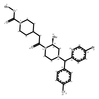 CC(C)(C)OC(=O)N1CCC(CC(=O)N2CCN(C(c3ccc(C(F)(F)F)cc3)c3ccc(Br)cn3)C[C@@H]2C(C)(C)C)CC1